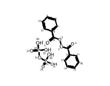 O=C(OOC(=O)c1ccccc1)c1ccccc1.O=P(O)(O)OP(=O)(O)O